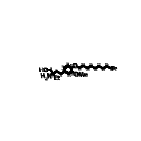 CCC(N)(CO)CCc1ccc(OCCCCCCCCC(C)C)c(OC)c1